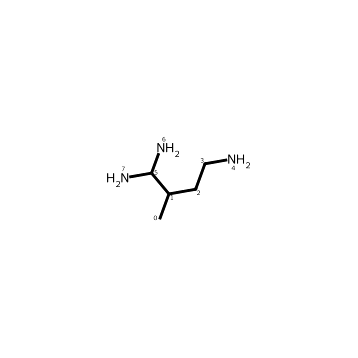 CC(CCN)C(N)N